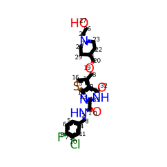 O=C(NCc1ccc(F)c(Cl)c1)c1nc2scc(COCC3CCN(CCO)CC3)c2c(=O)[nH]1